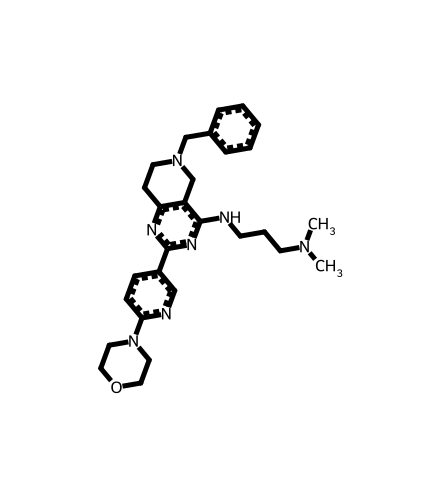 CN(C)CCCNc1nc(-c2ccc(N3CCOCC3)nc2)nc2c1CN(Cc1ccccc1)CC2